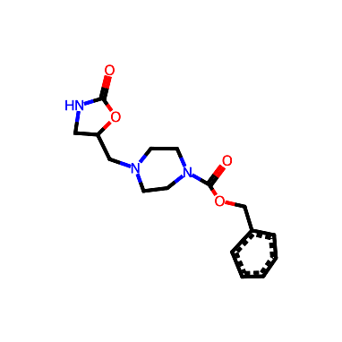 O=C1NCC(CN2CCN(C(=O)OCc3ccccc3)CC2)O1